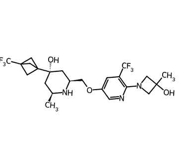 C[C@H]1C[C@@](O)(C23CC(C(F)(F)F)(C2)C3)C[C@@H](COc2cnc(N3CC(C)(O)C3)c(C(F)(F)F)c2)N1